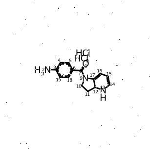 Cl.Cl.Nc1ccc(C(=O)N2CCC3NC=CC=C32)cc1